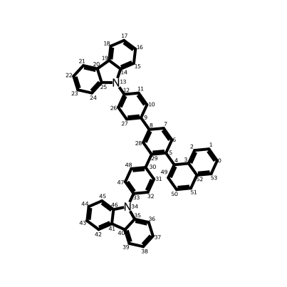 c1ccc2c(-c3ccc(-c4ccc(-n5c6ccccc6c6ccccc65)cc4)cc3-c3ccc(-n4c5ccccc5c5ccccc54)cc3)cccc2c1